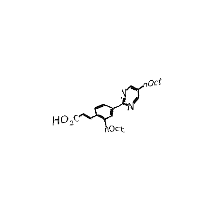 CCCCCCCCc1cnc(-c2ccc(C=CC(=O)O)c(CCCCCCCC)c2)nc1